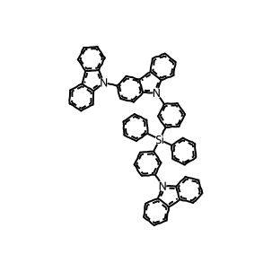 c1ccc([Si](c2ccccc2)(c2cccc(-n3c4ccccc4c4ccccc43)c2)c2cccc(-n3c4ccccc4c4cc(-n5c6ccccc6c6ccccc65)ccc43)c2)cc1